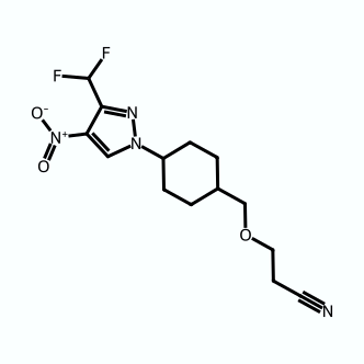 N#CCCOCC1CCC(n2cc([N+](=O)[O-])c(C(F)F)n2)CC1